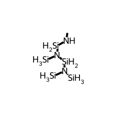 CN[SiH2]N([SiH3])[SiH2]N([SiH3])[SiH3]